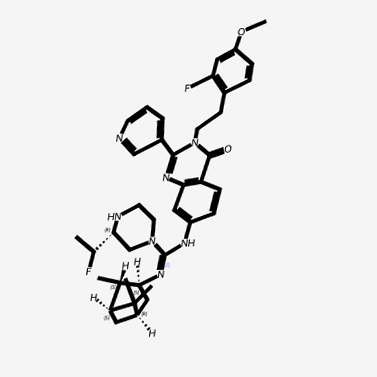 COc1ccc(CCn2c(-c3cccnc3)nc3cc(N/C(=N/[C@H]4C[C@H]5C[C@@H]([C@@H]4C)C5(C)C)N4CCN[C@@H](C(C)F)C4)ccc3c2=O)c(F)c1